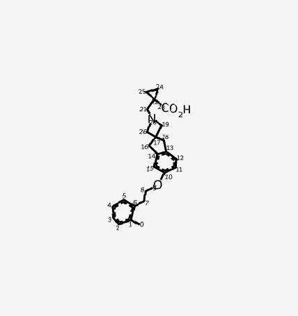 Cc1ccccc1CCOc1ccc2c(c1)CC1(C2)CN(CC2(C(=O)O)CC2)C1